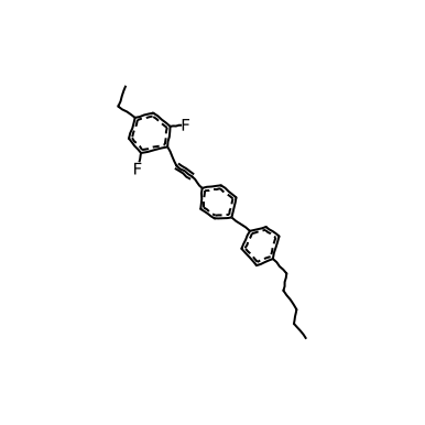 CCCCCc1ccc(-c2ccc(C#Cc3c(F)cc(CC)cc3F)cc2)cc1